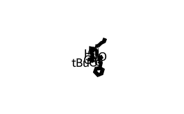 C=CCCC[C@@]12C[C@@H](C(=O)OCc3ccccc3)N(C(=O)OC(C)(C)C)[C@@H]1C2